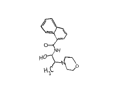 CC(C(O)NC(=O)c1cccc2ccccc12)N1CCOCC1